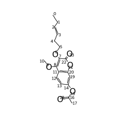 CC/C=C/CCOc1c(OC)c2ccc(OC(C)=O)cc2oc1=O